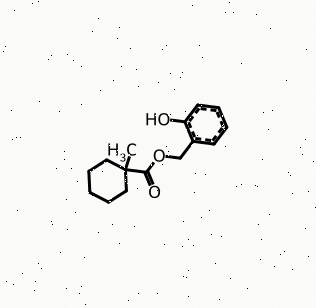 CC1(C(=O)OCc2ccccc2O)CCCCC1